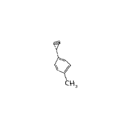 Cc1ccc(C2C#C2)cc1